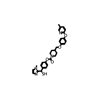 Cc1ccc(Oc2ccc(OCC3CCN(C(=O)Oc4ccc(C(S)c5nccn5C)cc4)CC3)cc2)nc1